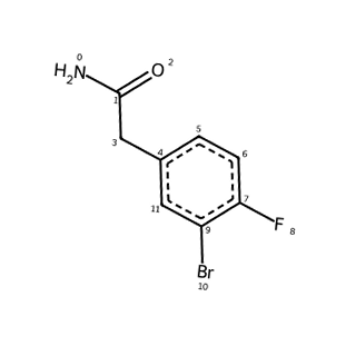 NC(=O)Cc1ccc(F)c(Br)c1